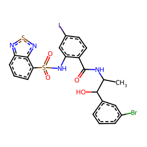 CC(NC(=O)c1ccc(I)cc1NS(=O)(=O)c1cccc2nsnc12)C(O)c1cccc(Br)c1